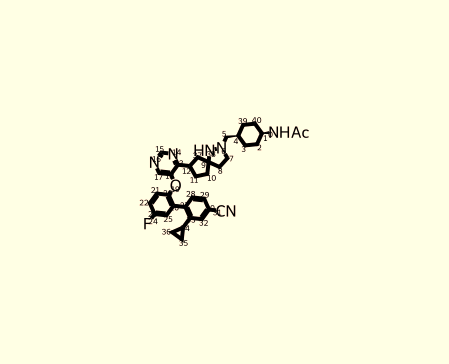 CC(=O)N[C@H]1CC[C@@H](CN2CCC3(CCC(c4ncncc4Oc4ccc(F)cc4-c4ccc(C#N)cc4C4CC4)C3)N2)CC1